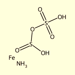 N.O=S(O)OS(=O)(=O)O.[Fe]